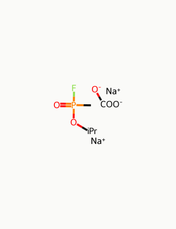 CC(C)OP(C)(=O)F.O=C([O-])[O-].[Na+].[Na+]